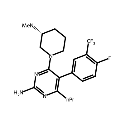 CCCc1nc(N)nc(N2CCC[C@@H](NC)C2)c1-c1ccc(F)c(C(F)(F)F)c1